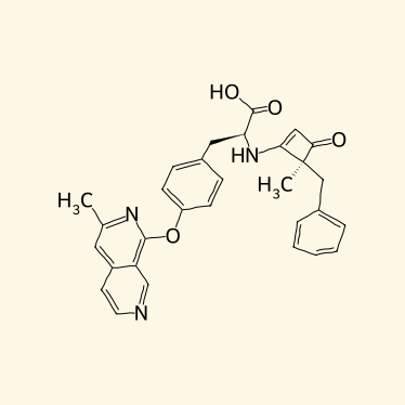 Cc1cc2ccncc2c(Oc2ccc(C[C@H](NC3=CC(=O)[C@@]3(C)Cc3ccccc3)C(=O)O)cc2)n1